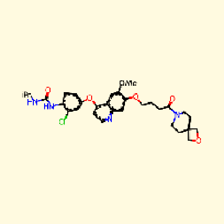 COc1cc2c(Oc3ccc(NC(=O)NC(C)C)c(Cl)c3)ccnc2cc1OCCCC(=O)N1CCC2(CC1)COC2